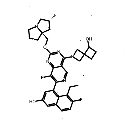 CCc1c(F)ccc2cc(O)cc(-c3ncc4c(N5CC6(CCC6O)C5)nc(OC[C@@]56CCCN5C[C@H](F)C6)nc4c3F)c12